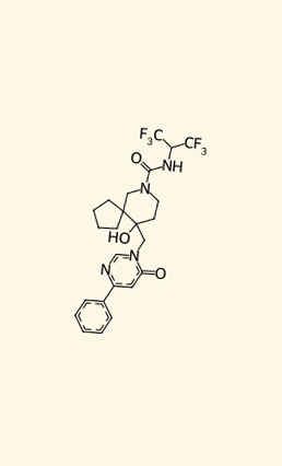 O=C(NC(C(F)(F)F)C(F)(F)F)N1CCC(O)(Cn2cnc(-c3ccccc3)cc2=O)C2(CCCC2)C1